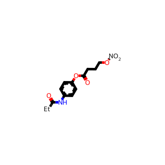 CCC(=O)Nc1ccc(OC(=O)CCCO[N+](=O)[O-])cc1